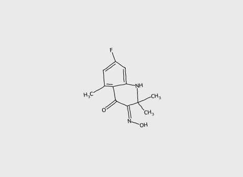 Cc1cc(F)cc2c1C(=O)/C(=N/O)C(C)(C)N2